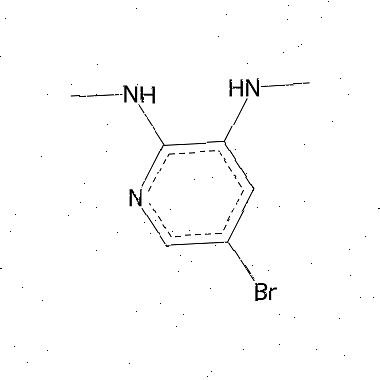 CNc1cc(Br)cnc1NC